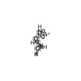 CCOC(=O)C1C(=O)NCCN1Cc1cccc2[nH]c(-c3n[nH]c4cc(C#N)ccc34)cc12